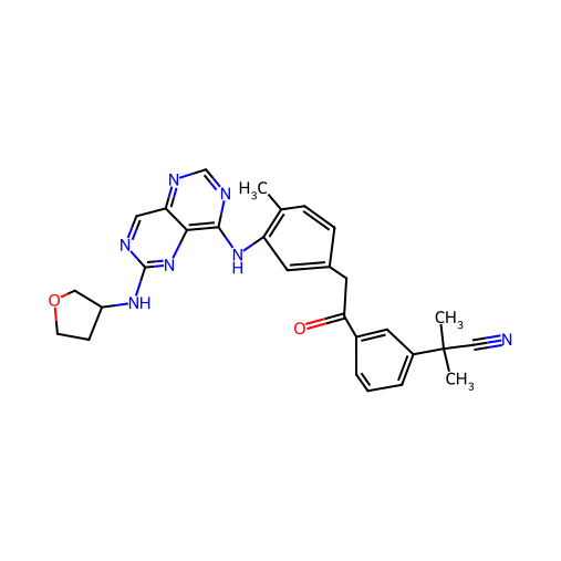 Cc1ccc(CC(=O)c2cccc(C(C)(C)C#N)c2)cc1Nc1ncnc2cnc(NC3CCOC3)nc12